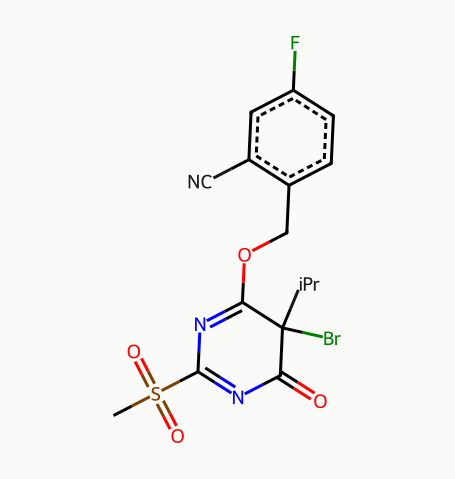 CC(C)C1(Br)C(=O)N=C(S(C)(=O)=O)N=C1OCc1ccc(F)cc1C#N